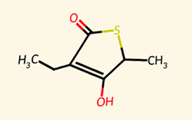 CCC1=C(O)C(C)SC1=O